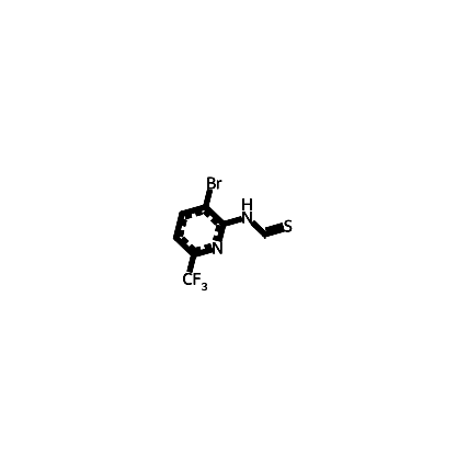 FC(F)(F)c1ccc(Br)c(N[C]=S)n1